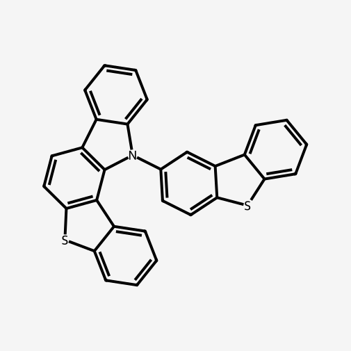 c1ccc2c(c1)sc1ccc(-n3c4ccccc4c4ccc5sc6ccccc6c5c43)cc12